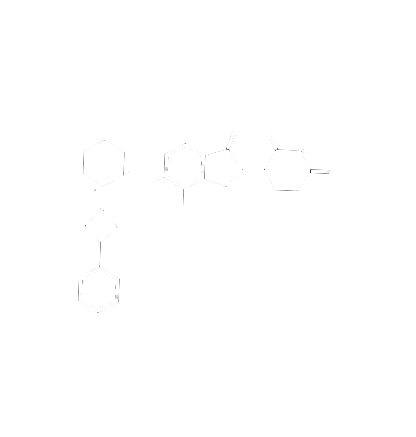 O=C1CC[C@H](N2Cc3c(ccc(O[C@H]4CCCC[C@H]4N4CC(c5ccccc5)C4)c3F)C2=O)C(=O)N1